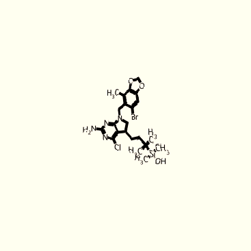 Cc1c(CN2CC(CCC(C)(C)[Si](C)(C)O)c3c(Cl)nc(N)nc32)c(Br)cc2c1OCO2